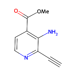 C#Cc1nccc(C(=O)OC)c1N